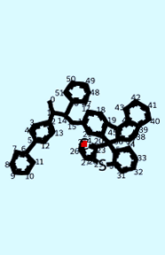 CC(c1ccc(-c2ccccc2)cc1)C(Cc1ccc2c(c1)C1(c3ccccc3Sc3ccccc31)c1ccc3ccccc3c1-2)c1ccccc1